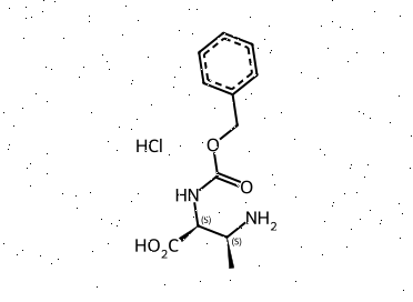 C[C@H](N)[C@H](NC(=O)OCc1ccccc1)C(=O)O.Cl